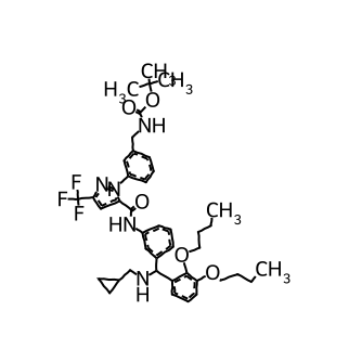 CCCCOc1cccc(C(NCC2CC2)c2cccc(NC(=O)c3cc(C(F)(F)F)nn3-c3cccc(CNC(=O)OC(C)(C)C)c3)c2)c1OCCCC